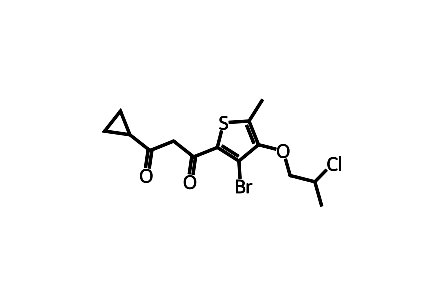 Cc1sc(C(=O)CC(=O)C2CC2)c(Br)c1OCC(C)Cl